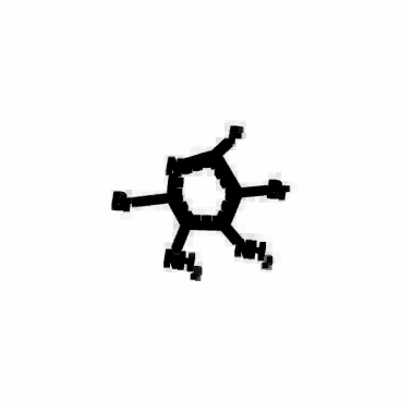 Nc1c(Br)nc(F)c(Br)c1N